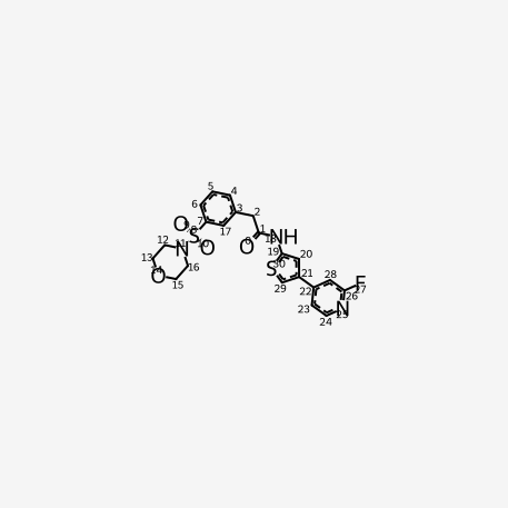 O=C(Cc1cccc(S(=O)(=O)N2CCOCC2)c1)Nc1cc(-c2ccnc(F)c2)cs1